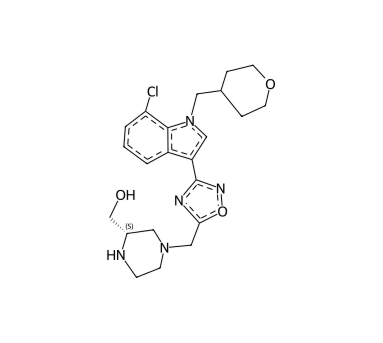 OC[C@@H]1CN(Cc2nc(-c3cn(CC4CCOCC4)c4c(Cl)cccc34)no2)CCN1